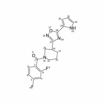 O=C(c1ccc(F)cc1F)N1CCCC(c2noc(-c3ccc[nH]3)n2)C1